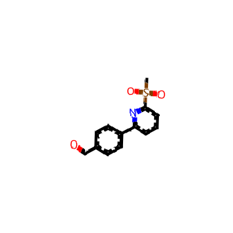 CS(=O)(=O)c1cccc(-c2ccc(C=O)cc2)n1